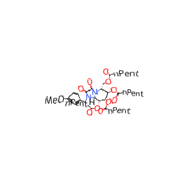 CCCCCC(=O)OC[C@@H]1[C@@H](OC(=O)CCCCC)[C@H](OC(=O)CCCCC)[C@H](OC(=O)CCCCC)[C@H]2N(Cc3ccc(OC)cc3)C(=O)C(=O)N12